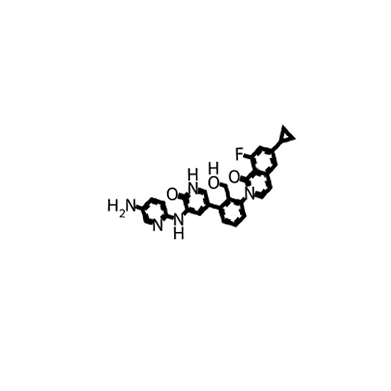 Nc1ccc(Nc2cc(-c3cccc(-n4ccc5cc(C6CC6)cc(F)c5c4=O)c3CO)c[nH]c2=O)nc1